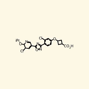 CC(C)OC1N=CC(c2nc(-c3ccc(OC4CC(C(=O)O)C4)cc3Cl)no2)=CC1Cl